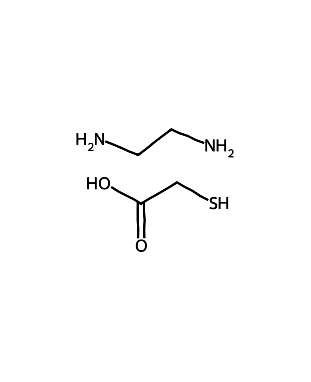 NCCN.O=C(O)CS